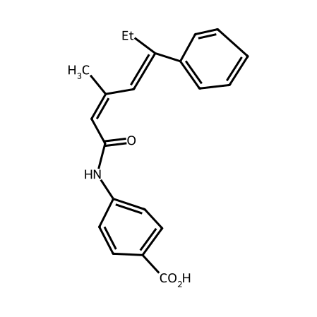 CC/C(=C\C(C)=C/C(=O)Nc1ccc(C(=O)O)cc1)c1ccccc1